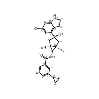 O=C(NC1[C@H]2C[C@](O)(c3cc(Cl)cc4[nH]ncc34)C[C@@H]12)c1cccc(C2CC2)c1